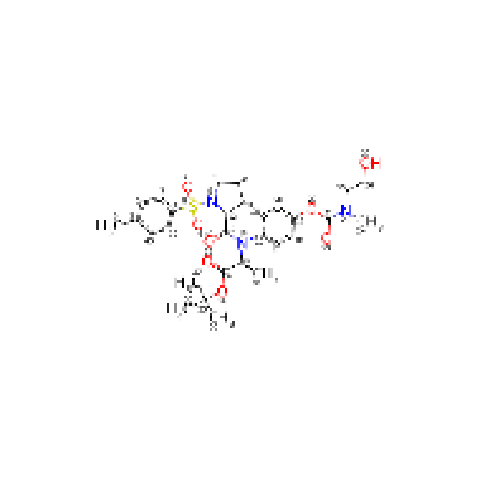 Cc1ccc(S(=O)(=O)N2CCC[C@H]2C(=O)N(c2ccc(OC(=O)N(C)CCO)cc2)[C@@H](C)C(=O)OC(C)(C)C)cc1